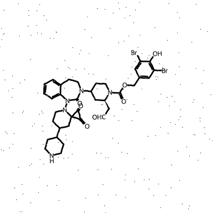 O=CC[C@H]1CC(N2CCc3ccccc3N(N3CCC(C4CCNCC4)CC34C(=O)C4=O)C2=O)CCN1C(=O)OCc1cc(Br)c(O)c(Br)c1